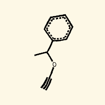 C#COC(C)c1ccccc1